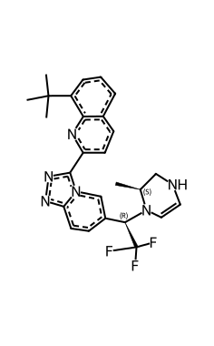 C[C@H]1CNC=CN1[C@H](c1ccc2nnc(-c3ccc4cccc(C(C)(C)C)c4n3)n2c1)C(F)(F)F